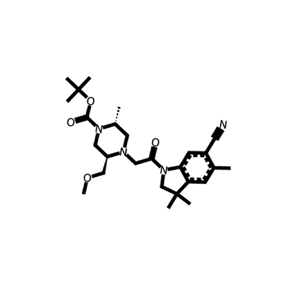 COC[C@H]1CN(C(=O)OC(C)(C)C)[C@H](C)CN1CC(=O)N1CC(C)(C)c2cc(C)c(C#N)cc21